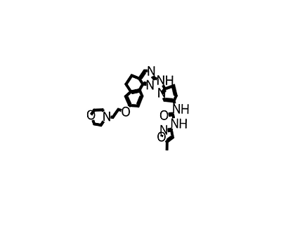 Cc1cc(NC(=O)Nc2ccc(Nc3ncc4c(n3)-c3ccc(OCCN5CCOCC5)cc3CC4)nc2)no1